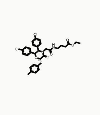 CCOC(=O)CCCNC(=O)CN1C(=O)[C@H](Cc2ccc(C)cc2)OC(c2ccc(Cl)cc2)C1c1ccc(Cl)cc1